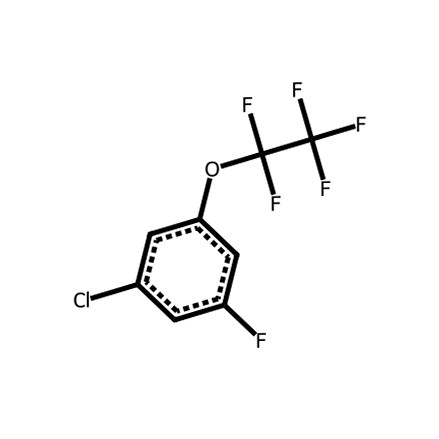 Fc1cc(Cl)cc(OC(F)(F)C(F)(F)F)c1